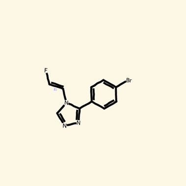 F/C=C/n1cnnc1-c1ccc(Br)cc1